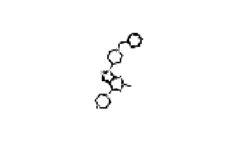 Cc1nc(N2CCOCC2)c2cnn(C3CCN(Cc4ccccc4)CC3)c2n1